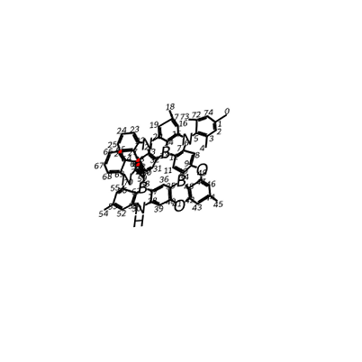 Cc1cc(C)c(N2c3cc4c(cc3B3c5c2cc(C)cc5-n2c5ccccc5c5cccc3c52)B2c3cc5c(cc3Oc3cc(C)cc(c32)O4)Nc2cc(C)cc3c2B5c2cccc4c5ccccc5n-3c24)c(C)c1